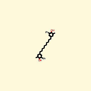 Cc1cc(CCCCCCCCCCc2cc(C)c(O)c(C(C)C)c2)cc(C(C)C)c1O